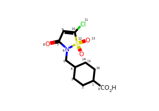 O=C(O)C1CCC(CN2C(=O)C=C(Cl)S2(=O)=O)CC1